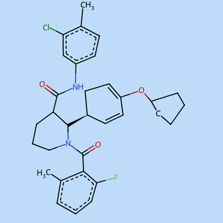 Cc1ccc(NC(=O)C2CCCN(C(=O)c3c(C)cccc3F)C2[C@@H]2C=CC(OC3CCCC3)=CC2)cc1Cl